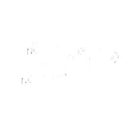 C=CC(Oc1ccc(C#N)c(C#N)c1)[C@H](C)C(C)C